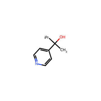 CC(C)C(C)(O)c1ccncc1